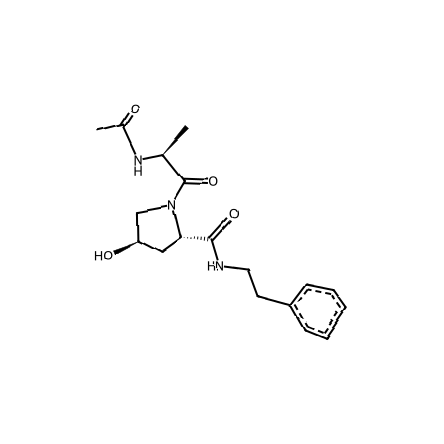 CC(=O)N[C@@H](C)C(=O)N1C[C@H](O)C[C@H]1C(=O)NCCc1ccccc1